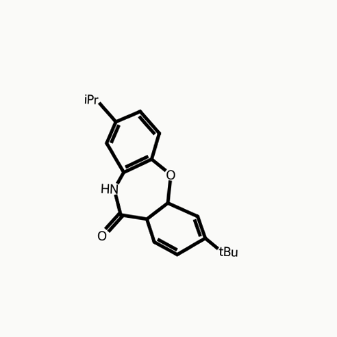 CC(C)c1ccc2c(c1)NC(=O)C1C=CC(C(C)(C)C)=CC1O2